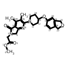 COC(=O)CN1Cc2nc(N3CCC(Oc4ccc5c(c4)COC5)CC3)c(C)c(C)c2C1=O